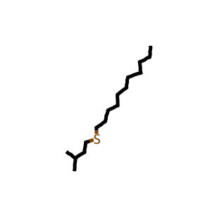 CCCCCCCCCCCSCCC(C)C